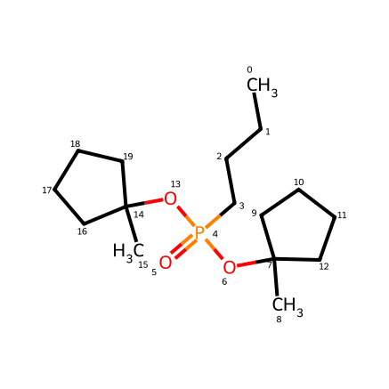 CCCCP(=O)(OC1(C)CCCC1)OC1(C)CCCC1